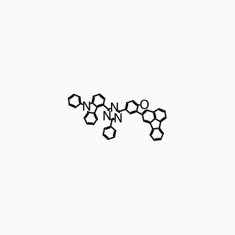 c1ccc(-c2nc(-c3ccc4oc5c6cccc7c6c(cc5c4c3)-c3ccccc3-7)nc(-c3cccc4c3c3ccccc3n4-c3ccccc3)n2)cc1